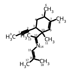 CC#CC1CC(C)C(C)=CC1(C)/C(C)=N/C=C(C)C